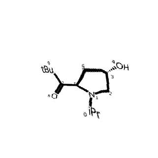 CC(C)N1C[C@@H](O)CC1C(=O)C(C)(C)C